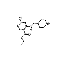 CCOC(=O)c1cnc(Cl)cc1NCC1CCNCC1